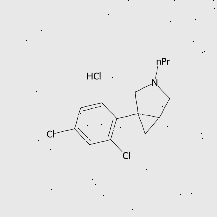 CCCN1CC2CC2(c2ccc(Cl)cc2Cl)C1.Cl